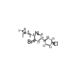 C[Si](C)(C)C#Cc1ncc(-c2ccc(Cl)cc2)cc1Br